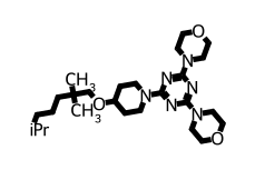 CC(C)CCCC(C)(C)COC1CCN(c2nc(N3CCOCC3)nc(N3CCOCC3)n2)CC1